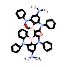 CN(C)c1cc2c3c(c1)N(c1ccccc1)c1oc4c(c1B3c1ccccc1N2c1ccccc1)B1c2ccccc2N(c2ccccc2)c2cc(N(C)C)cc(c21)N4c1ccccc1